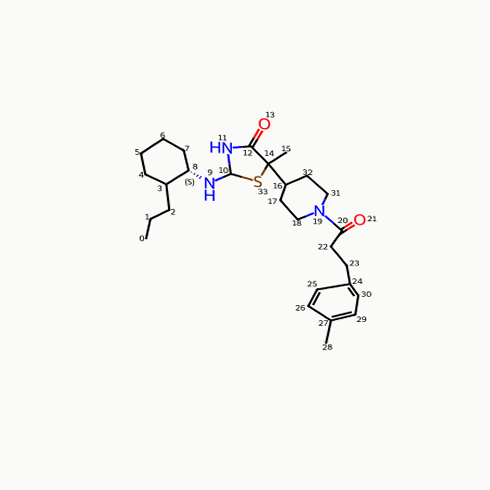 CCCC1CCCC[C@@H]1NC1NC(=O)C(C)(C2CCN(C(=O)CCc3ccc(C)cc3)CC2)S1